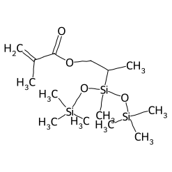 C=C(C)C(=O)OCC(C)[Si](C)(O[Si](C)(C)C)O[Si](C)(C)C